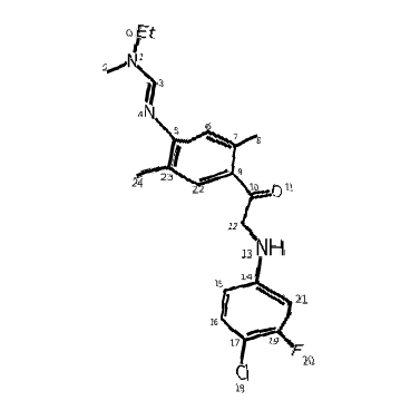 CCN(C)C=Nc1cc(C)c(C(=O)CNc2ccc(Cl)c(F)c2)cc1C